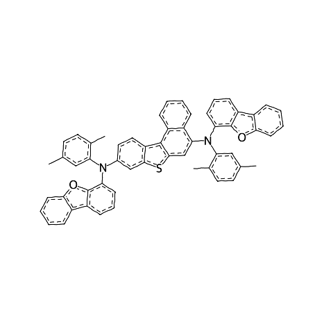 Cc1ccc(C)c(N(c2ccc3c(c2)sc2cc(N(c4cc(C)ccc4C)c4cccc5c4oc4ccccc45)c4ccccc4c23)c2cccc3c2oc2ccccc23)c1